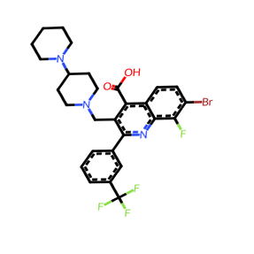 O=C(O)c1c(CN2CCC(N3CCCCC3)CC2)c(-c2cccc(C(F)(F)F)c2)nc2c(F)c(Br)ccc12